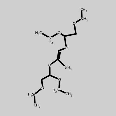 C[SiH2]OCC(OC=C([SiH3])OC(CO[SiH2]C)O[SiH2]C)O[SiH2]C